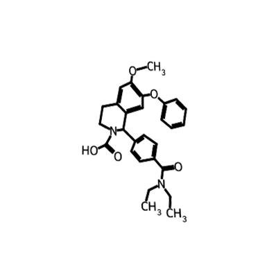 CCN(CC)C(=O)c1ccc(C2c3cc(Oc4ccccc4)c(OC)cc3CCN2C(=O)O)cc1